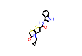 O=C(Nc1c[nH]c2ccccc12)c1cc2c(s1)SCC(=O)N2CC1CC1